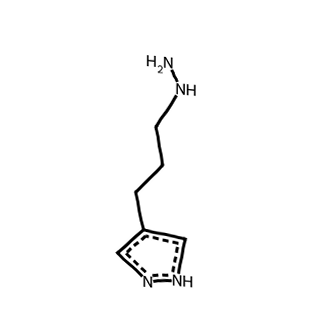 NNCCCc1cn[nH]c1